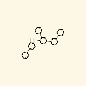 c1ccc(-c2ccc(Nc3ccc(-c4cccc(-c5ccccc5)c4)cc3-c3ccccc3)cc2)cc1